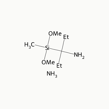 CCC(N)(CC)[Si](C)(OC)OC.N